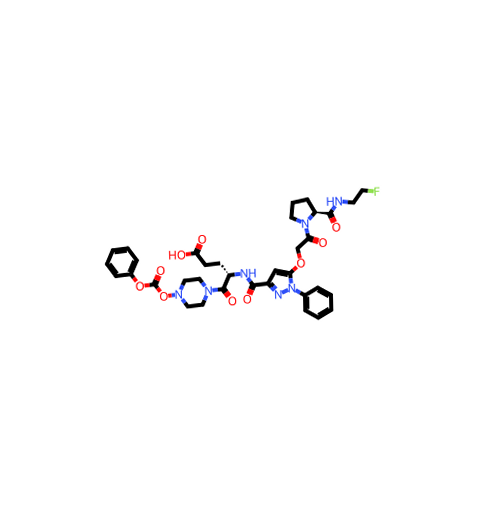 O=C(O)CC[C@H](NC(=O)c1cc(OCC(=O)N2CCC[C@H]2C(=O)NCCF)n(-c2ccccc2)n1)C(=O)N1CCN(OC(=O)Oc2ccccc2)CC1